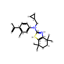 C=C(C)c1ccc(N(CC2CC2)c2nc3c(s2)C(C)(C)CCC3(C)C)cc1C